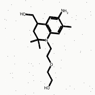 Cc1cc2c(cc1N)C(CO)CC(C)(C)N2CCOCCO